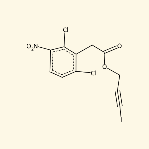 O=C(Cc1c(Cl)ccc([N+](=O)[O-])c1Cl)OCC#CI